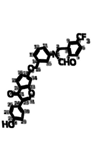 O=CN(Cc1cccc(C(F)(F)F)c1)c1cccc(COc2ccc3c(=O)c(-c4ccc(O)cc4)coc3c2)c1